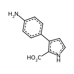 Nc1ccc(-c2cc[nH]c2C(=O)O)cc1